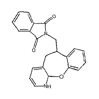 O=C1c2ccccc2C(=O)N1CC1CC2=CC=CNC2Oc2ccccc21